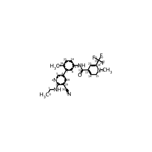 CCNc1ncc(-c2cc(NC(=O)C3=CCN(C)C(C(F)(F)F)=C3)ccc2C)cc1C#N